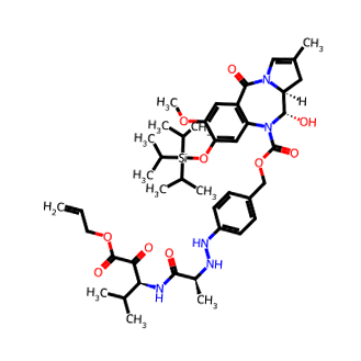 C=CCOC(=O)C(=O)[C@@H](NC(=O)[C@H](C)NNc1ccc(COC(=O)N2c3cc(O[Si](C(C)C)(C(C)C)C(C)C)c(OC)cc3C(=O)N3C=C(C)C[C@H]3[C@@H]2O)cc1)C(C)C